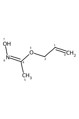 C=CCO/C(C)=N\O